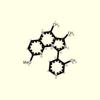 COc1ccc2nc(C)c3c(C)nc(-c4ccncc4C)n3c2n1